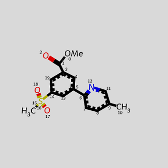 COC(=O)c1cc(-c2ccc(C)cn2)cc(S(C)(=O)=O)c1